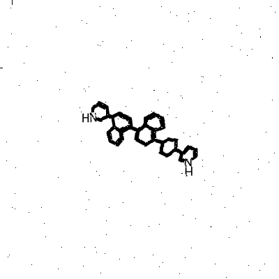 C1=CNCC(C2CCC(C3=C4C=CC=CC4C(C4=C5C=CC=CC5C(C5C=CCNC5)C=C4)CC3)CC2)=C1